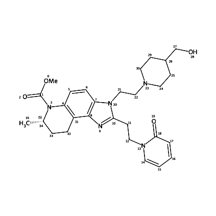 COC(=O)N1c2ccc3c(nc(CCn4ccccc4=O)n3CCN3CCC(CO)CC3)c2CC[C@@H]1C